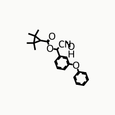 CC1(C)C(C(=O)OC(C#N)c2cccc(Oc3ccccc3)c2)C1(C)C.CO